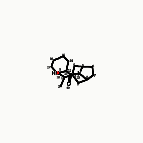 CC(C)N1CC2CCC(C1)N2C(=O)C1CCCCN1